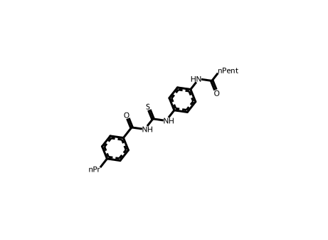 CCCCCC(=O)Nc1ccc(NC(=S)NC(=O)c2ccc(CCC)cc2)cc1